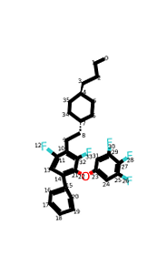 CCCC[C@H]1CC[C@H](CCc2c(F)cc(-c3ccccc3)c(Oc3cc(F)c(F)c(F)c3)c2F)CC1